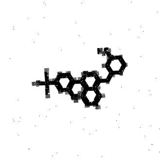 CN1CCCC(Cc2nnc(-c3ccc(C(F)(F)F)cc3O)c3ccncc23)C1